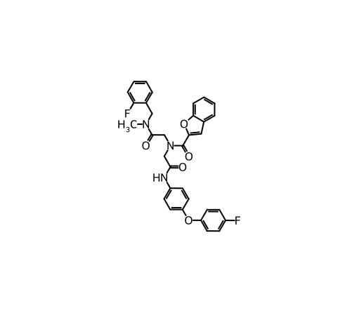 CN(Cc1ccccc1F)C(=O)CN(CC(=O)Nc1ccc(Oc2ccc(F)cc2)cc1)C(=O)c1cc2ccccc2o1